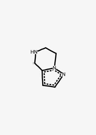 [C]1NCCn2nccc21